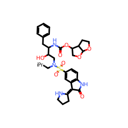 CC(C)CN(CC(O)C(Cc1ccccc1)NC(=O)OC1COC2OCCC12)S(=O)(=O)c1ccc2c(c1)/C(=C1/CCCN1)C(=O)N2